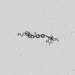 C=C(C)CC(=O)Oc1ccc(-c2ccc(-c3ccc(CCCOC(=O)C(=C)C)cc3)cc2F)cc1